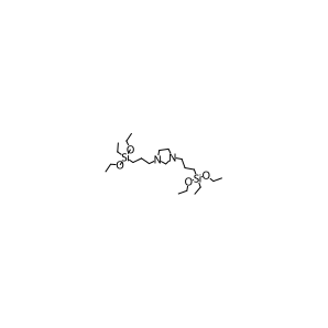 CCO[Si](CC)(CCCN1CCN(CCC[Si](CC)(OCC)OCC)C1)OCC